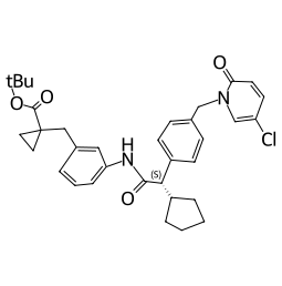 CC(C)(C)OC(=O)C1(Cc2cccc(NC(=O)[C@H](c3ccc(Cn4cc(Cl)ccc4=O)cc3)C3CCCC3)c2)CC1